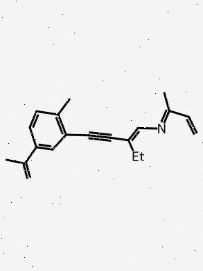 C=C/C(C)=N/C=C(/C#Cc1cc(C(=C)C)ccc1C)CC